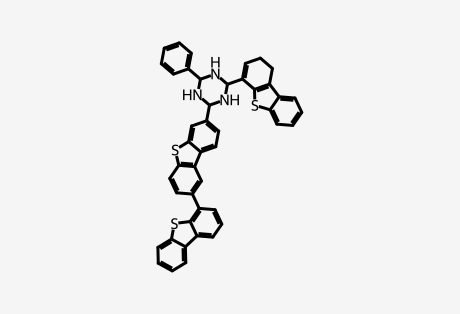 C1=C(C2NC(c3ccccc3)NC(c3ccc4c(c3)sc3ccc(-c5cccc6c5sc5ccccc56)cc34)N2)c2sc3ccccc3c2CC1